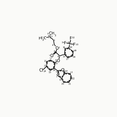 CN(C)CCOC(=O)C(Oc1ccc(Cl)cc1-c1nc2ccccc2o1)c1cccc(C(F)(F)F)c1